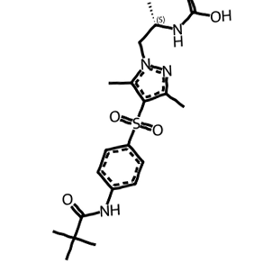 Cc1nn(C[C@H](C)NC(=O)O)c(C)c1S(=O)(=O)c1ccc(NC(=O)C(C)(C)C)cc1